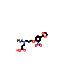 CN(CCCOc1ccc(C2OCCO2)cc1[N+](=O)[O-])CCC(=O)O